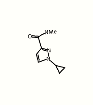 CNC(=O)c1ccn(C2CC2)n1